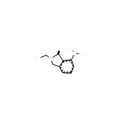 N#CCN1Cc2cccc(B(O)O)c2C1=O